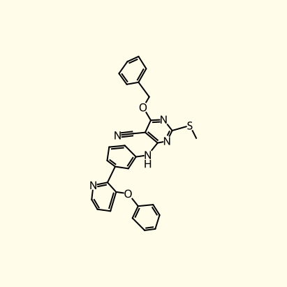 CSc1nc(Nc2cccc(-c3ncccc3Oc3ccccc3)c2)c(C#N)c(OCc2ccccc2)n1